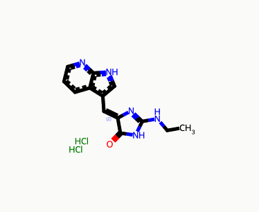 CCNC1=N/C(=C\c2c[nH]c3ncccc23)C(=O)N1.Cl.Cl